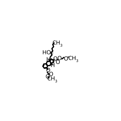 CCCCC[C@@H](O)CC[C@@H]1[C@H]2Cc3cccc(OCC(=O)OC)c3C[C@H]2C[C@H]1OC(=O)OCCOCC